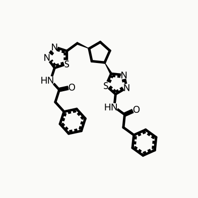 O=C(Cc1ccccc1)Nc1nnc(C[C@H]2CC[C@@H](c3nnc(NC(=O)Cc4ccccc4)s3)C2)s1